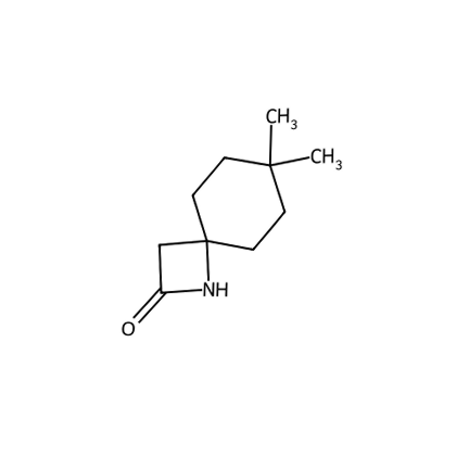 CC1(C)CCC2(CC1)CC(=O)N2